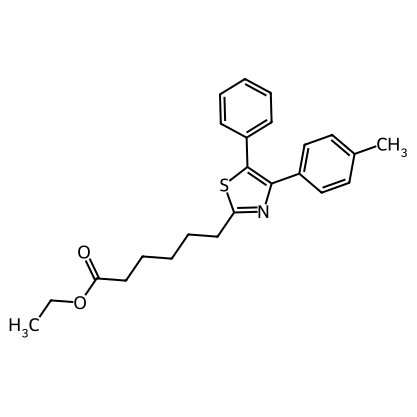 CCOC(=O)CCCCCc1nc(-c2ccc(C)cc2)c(-c2ccccc2)s1